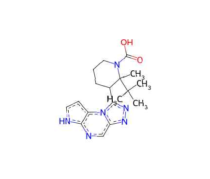 CC(C)(C)C1(C)C(c2nnc3cnc4[nH]ccc4n23)CCCN1C(=O)O